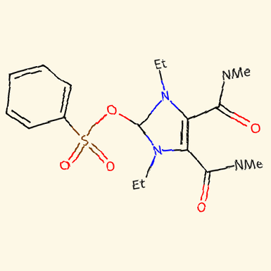 CCN1C(C(=O)NC)=C(C(=O)NC)N(CC)C1OS(=O)(=O)c1ccccc1